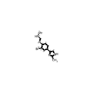 CCCN/C=N/c1ccc(-c2c[nH]c(C)n2)cc1Br